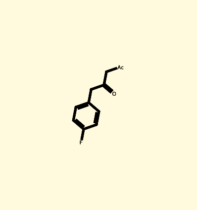 CC(=O)CC(=O)Cc1ccc(F)cc1